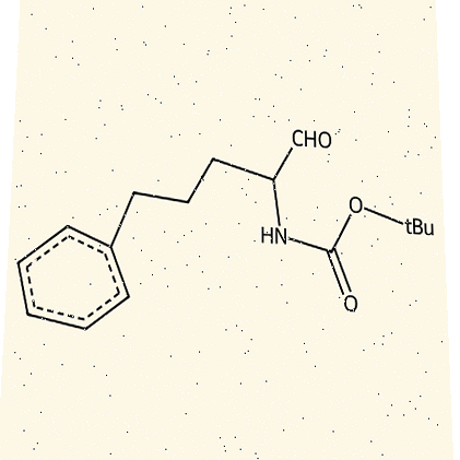 CC(C)(C)OC(=O)NC(C=O)CCCc1ccccc1